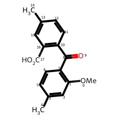 COc1cc(C)ccc1C(=O)c1ccc(C)cc1C(=O)O